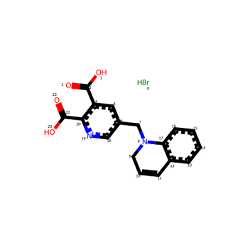 Br.O=C(O)c1cc(CN2CC=Cc3ccccc32)cnc1C(=O)O